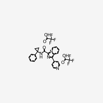 O=C(NC1(c2ccccc2)CC1)c1nc(-c2ccncc2)c2ccccn12.O=C(O)C(F)(F)F.O=C(O)C(F)(F)F